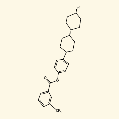 CCC[C@H]1CC[C@H](C2CCC(c3ccc(OC(=O)c4cccc(C(F)(F)F)c4)cc3)CC2)CC1